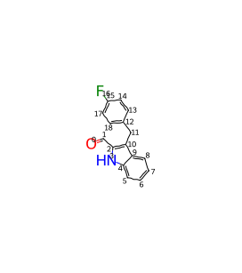 O=Cc1[nH]c2ccccc2c1Cc1ccc(F)cc1